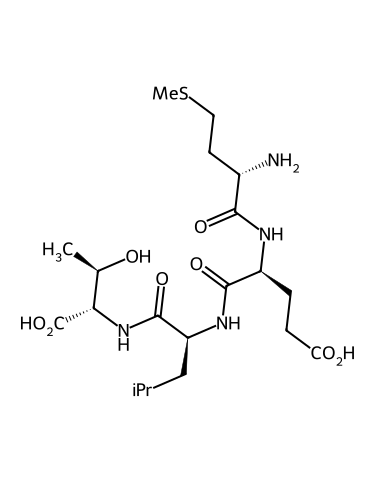 CSCC[C@H](N)C(=O)N[C@@H](CCC(=O)O)C(=O)N[C@@H](CC(C)C)C(=O)N[C@H](C(=O)O)[C@@H](C)O